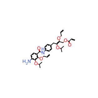 C=CCOC(COC(=O)C=C)=C(Cc1ccc(NC(=O)c2ccc(N)c(OC(C)C)c2OCC=C)cc1)OC(C)C